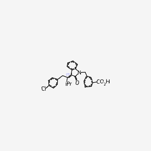 CC(C)/C(Cc1ccc(Cl)cc1)=C1\C(=O)N(Cc2cccc(C(=O)O)c2)c2ccccc21